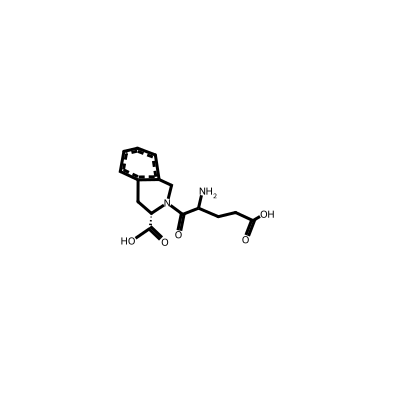 NC(CCC(=O)O)C(=O)N1Cc2ccccc2C[C@H]1C(=O)O